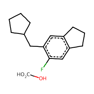 Fc1cc2c(cc1CC1CCCC1)CCC2.O=C(O)O